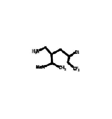 CCC(CC(CN)C(C)NC)CC(F)(F)F